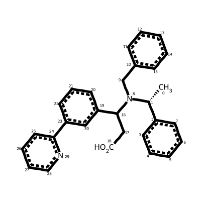 C[C@H](c1ccccc1)N(Cc1ccccc1)C(CC(=O)O)c1cccc(-c2ccccn2)c1